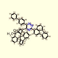 CC1(C)c2ccccc2C2(c3ccccc3-c3ccccc32)c2cc(-c3nc(-c4ccc5c6c(cccc46)-c4ccccc4-5)nnc3-c3ccc(-c4ccccc4)cc3)ccc21